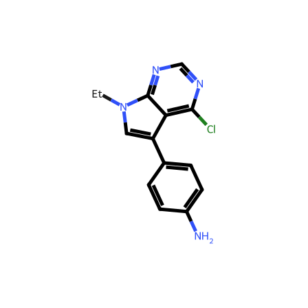 CCn1cc(-c2ccc(N)cc2)c2c(Cl)ncnc21